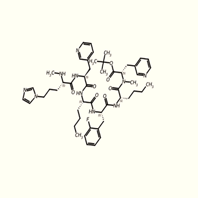 CCCC[C@H](NC(=O)[C@H](Cc1cccnc1)NC(=O)[C@H](CCCn1ccnc1)NC)C(=O)N[C@@H](Cc1ccccc1F)C(=O)N[C@@H](CCCC)C(=O)N(C)[C@@H](Cc1cccnc1)C(=O)OC(C)(C)C